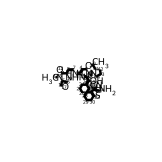 C[C@H](Oc1cc(N/C=C\C(=N)C(=O)N(C)C2COC2)nc(/C(O)=C2\CCC[C@@]3(CCCc4sc(N)c(C#N)c43)C2=N)n1)[C@@H]1CCCN1C